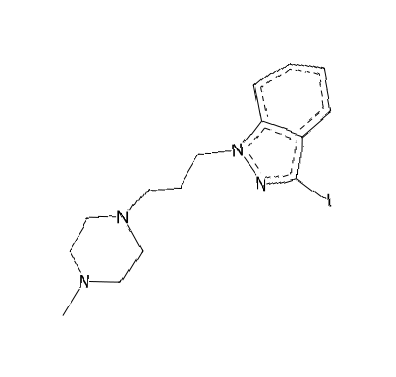 CN1CCN(CCCn2nc(I)c3ccccc32)CC1